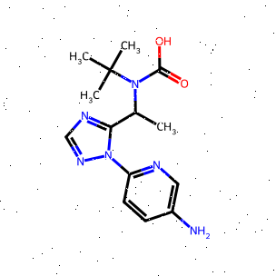 CC(c1ncnn1-c1ccc(N)cn1)N(C(=O)O)C(C)(C)C